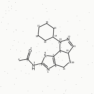 CC(=O)Nc1nc2c(s1)C1C(C=NN1C1CCCCC1)SC2